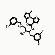 CCc1cccc(CNC[C@H](O)[C@H](Cc2cc(F)cc(F)c2)NC(=O)c2ccsc2-n2c(C)ccc2C)c1